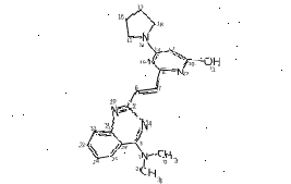 CN(C)c1nc(C=Cc2nc(O)cc(N3CCCC3)n2)nc2ccccc12